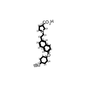 CC(C)(C)C1CCC(Oc2ccc3cc(CCN4CCC(C(=O)O)C4)ccc3c2)CC1